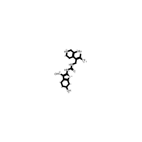 CCCCC1=C(/C(CNC(=O)Nc2sc3c(c2C=O)CCC(O)C3)=C(\C)C(F)(F)F)CCNC1